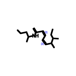 C=C(/C=C\C=C/C(C)C(C)CC)NC(C)CCC